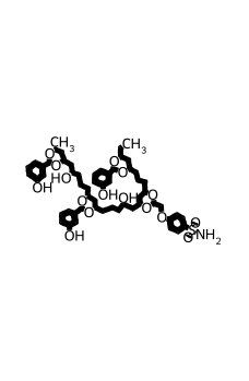 CCC1CC(CCCC2CC(CC(O)CCCC3CC(CCCC(O)CC4C[C@H](C)OC(c5cccc(O)c5)O4)OC(c4cccc(O)c4)O3)OC(COc3ccc(S(N)(=O)=O)cc3)O2)OC(c2cccc(O)c2)O1